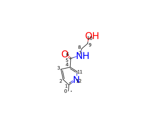 [CH2]c1ccc(C(=O)NCCO)cn1